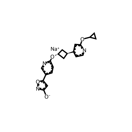 [Na+].[O-]c1cc(-c2ccc(O[C@H]3C[C@H](c4ccnc(OC5CC5)c4)C3)nc2)on1